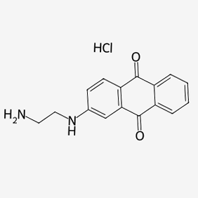 Cl.NCCNc1ccc2c(c1)C(=O)c1ccccc1C2=O